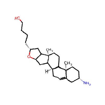 C[C@]12CCC3[C@@H](CC=C4C[C@@H](N)CC[C@@]43C)C1CC1O[C@H](CCCCO)CC12